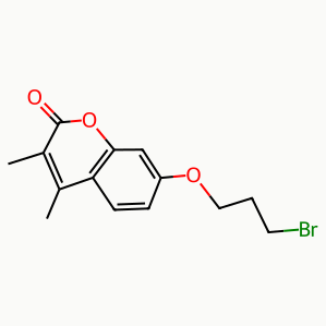 Cc1c(C)c2ccc(OCCCBr)cc2oc1=O